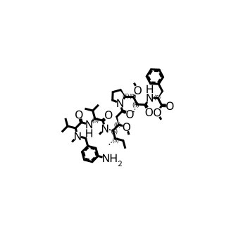 CC[C@H](C)[C@@H]([C@@H](CC(=O)N1CCC[C@H]1[C@H](OC)[C@@H](C)C(=O)N[C@@H](Cc1ccccc1)C(=O)OC)OC)N(C)C(=O)[C@@H](NC(=O)C(C(C)C)N(C)Cc1cccc(N)c1)C(C)C